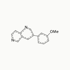 COc1cccc(-c2cnc3ccncc3c2)c1